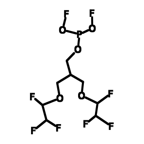 FOP(OF)OCC(COC(F)C(F)F)COC(F)C(F)F